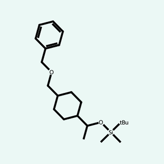 CC(O[Si](C)(C)C(C)(C)C)C1CCC(COCc2ccccc2)CC1